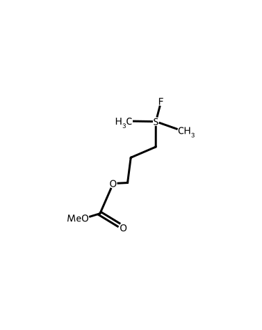 COC(=O)OCCCS(C)(C)F